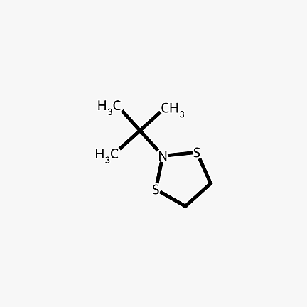 CC(C)(C)N1SCCS1